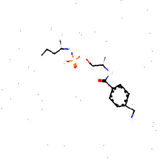 NCc1ccc(C(=O)N[C@@H](COP(=O)(O)N[C@H](C=O)CCC(=O)O)C(=O)O)cc1